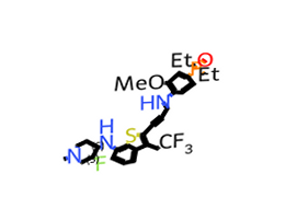 CCP(=O)(CC)c1ccc(NCC#Cc2sc3c(N[C@H]4CCN(C)C[C@@H]4F)cccc3c2CC(F)(F)F)c(OC)c1